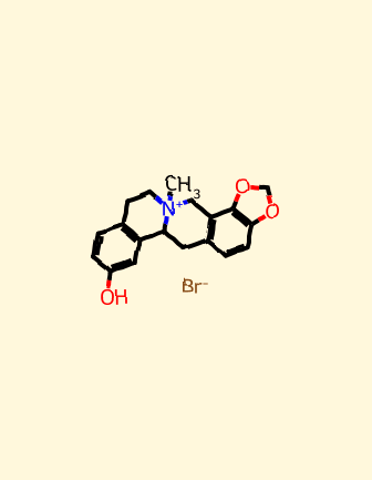 C[N+]12CCc3ccc(O)cc3C1Cc1ccc3c(c1C2)OCO3.[Br-]